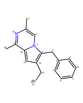 Cc1cn2c(Cc3ccccc3)c(CC(C)C)cc2c(C)n1